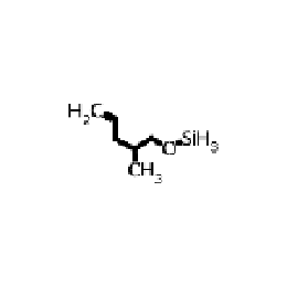 C=CCC(C)CO[SiH3]